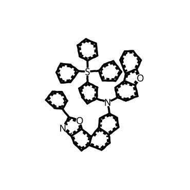 c1ccc(-c2nc3ccc4ccc5ccc(N(c6cccc(S(c7ccccc7)(c7ccccc7)c7ccccc7)c6)c6ccc7oc8ccccc8c7c6)cc5c4c3o2)cc1